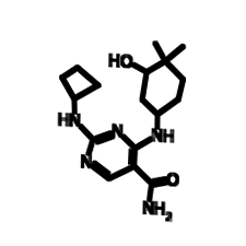 CC1(C)CCC(Nc2nc(NC3CCC3)ncc2C(N)=O)CC1O